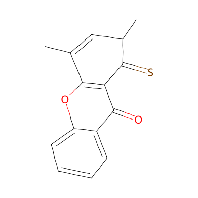 CC1=CC(C)C(=S)c2c1oc1ccccc1c2=O